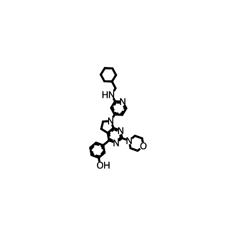 Oc1cccc(-c2nc(N3CCOCC3)nc3c2CCN3c2ccnc(NCC3CCCCC3)c2)c1